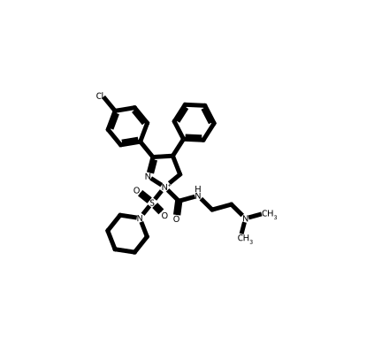 CN(C)CCNC(=O)[N+]1(S(=O)(=O)N2CCCCC2)CC(c2ccccc2)C(c2ccc(Cl)cc2)=N1